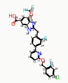 Cn1c(Cc2ccc(-c3cccc(OCc4ccc(Cl)cc4F)n3)cc2F)nc2c(OC(F)F)cc(C(=O)O)cc21